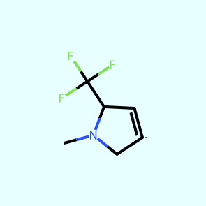 CN1C[C]=CC1C(F)(F)F